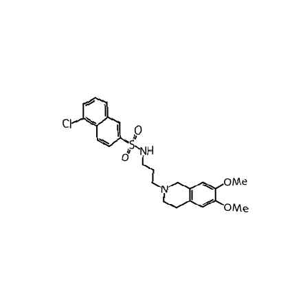 COc1cc2c(cc1OC)CN(CCCNS(=O)(=O)c1ccc3c(Cl)cccc3c1)CC2